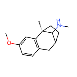 CNC1C2CC[C@]1(C)c1cc(OC)ccc1C2